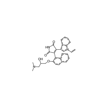 C=Cn1cc(C2=C(c3c(OCC(O)CN(C)C)ccc4ccccc34)C(=O)NC2=O)c2ccccc21